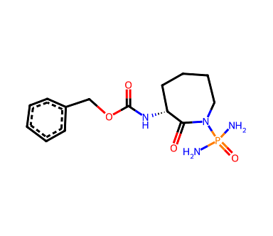 NP(N)(=O)N1CCCC[C@@H](NC(=O)OCc2ccccc2)C1=O